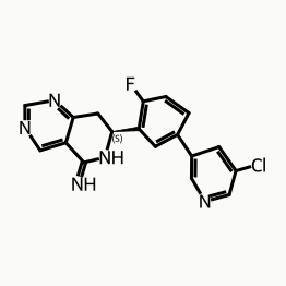 N=C1N[C@H](c2cc(-c3cncc(Cl)c3)ccc2F)Cc2ncncc21